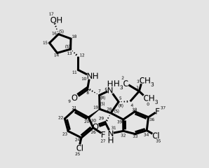 CC(C)(C)C[C@H]1N[C@@H](C(=O)NCC[C@@H]2CC[C@H](O)C2)[C@H](c2cccc(Cl)c2F)[C@@]12C(=O)Nc1cc(Cl)c(F)cc12